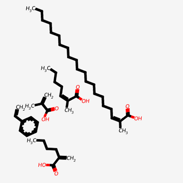 C=C(C)C(=O)O.C=C(CCCC)C(=O)O.C=Cc1ccccc1.CCCCC=C(C)C(=O)O.CCCCCCCCCCCCCCCCCCC=C(C)C(=O)O